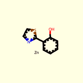 Oc1ccccc1-c1nccs1.[Zn]